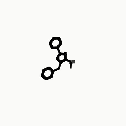 CNc1nc(-c2ccccc2)cn1Cc1ccccc1